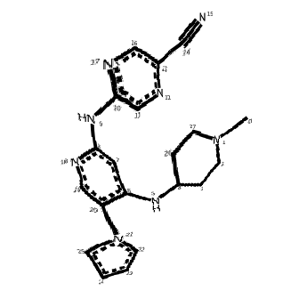 CN1CCC(Nc2cc(Nc3cnc(C#N)cn3)ncc2-n2cccc2)CC1